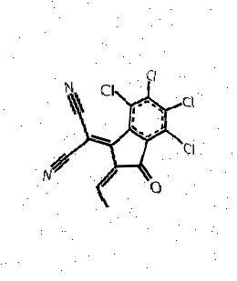 C/C=C1\C(=O)c2c(Cl)c(Cl)c(Cl)c(Cl)c2C1=C(C#N)C#N